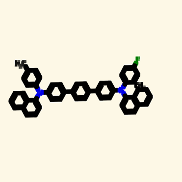 Cc1ccc(N(c2ccc(-c3ccc(-c4ccc(N(c5ccc(F)cc5)c5cccc6c5C(C)CC=C6)cc4)cc3)cc2)c2cccc3ccccc23)cc1